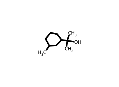 CC1CCCC(C(C)(C)O)C1